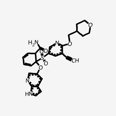 C#Cc1cc(S(=O)(=O)C2(Oc3cnc4[nH]ccc4c3)C=CC=CC2C(N)=O)cnc1OCC1CCOCC1